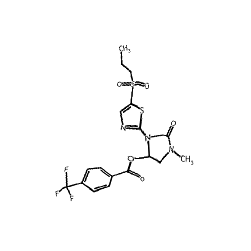 CCCS(=O)(=O)c1cnc(N2C(=O)N(C)CC2OC(=O)c2ccc(C(F)(F)F)cc2)s1